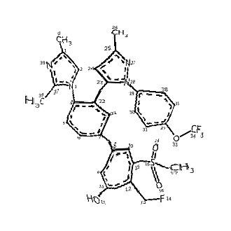 Cc1cn(-c2ccc(-c3cc(O)c(CF)c(S(C)(=O)=O)c3)cc2-c2cc(C)nn2-c2ccc(OC(F)(F)F)cc2)c(C)n1